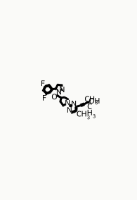 Cc1cnc(N2CCC(C(=O)N3N=CCC3c3cc(F)cc(F)c3)CC2)nc1C#CC(C)(C)O